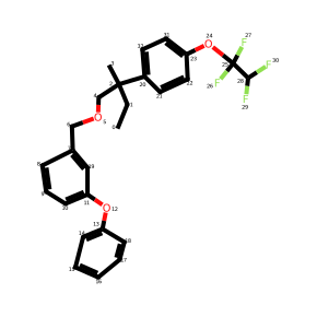 CCC(C)(COCc1cccc(Oc2ccccc2)c1)c1ccc(OC(F)(F)C(F)F)cc1